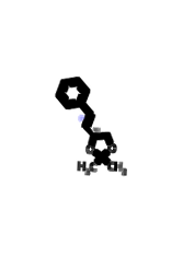 CC1(C)OC[C@H](/C=C/c2ccccc2)O1